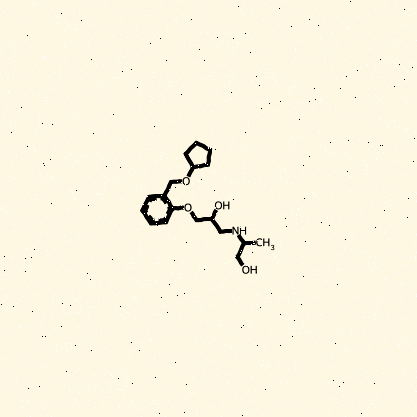 CC(CO)NCC(O)COc1ccccc1COC1CCCC1